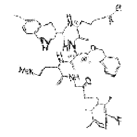 C=C(CC)CCC[C@H](NC(=C)C1Cc2cc(C)ccc2N1)C(=C)N[C@H](C(=C)NC(CCNC)C(=C)NCC(=O)CCc1c(C)c(C)cc(F)c1F)[C@@H](C)OCc1ccccc1